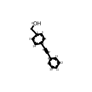 OCc1ccc(C#Cc2ccccc2)cc1